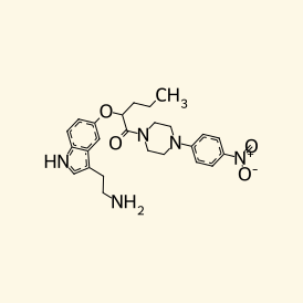 CCCC(Oc1ccc2[nH]cc(CCN)c2c1)C(=O)N1CCN(c2ccc([N+](=O)[O-])cc2)CC1